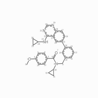 COc1ccc(C(=O)N(Cc2cccc(-c3ccc4ncnc(NC5CC5)c4c3)c2)C2CC2)cc1